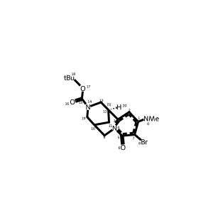 CNc1cc2n(c(=O)c1Br)CC1C[C@H]2CN(C(=O)OC(C)(C)C)C1